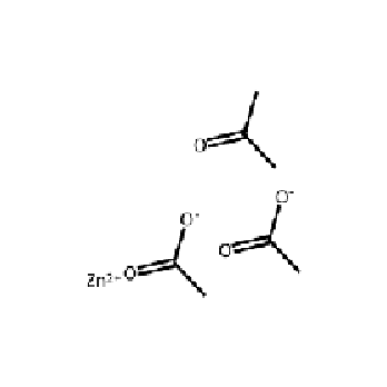 CC(=O)[O-].CC(=O)[O-].CC(C)=O.[Zn+2]